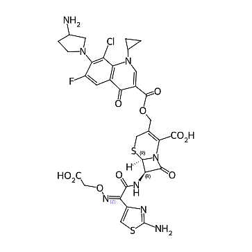 Nc1nc(/C(=N/OCC(=O)O)C(=O)N[C@@H]2C(=O)N3C(C(=O)O)=C(COC(=O)c4cn(C5CC5)c5c(Cl)c(N6CCC(N)C6)c(F)cc5c4=O)CS[C@H]23)cs1